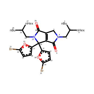 CCCCCCC(CCCC)CN1CC2=C(C1=O)C(c1ccc(Br)o1)(c1ccc(Br)o1)N(CC(CCCC)CCCCCC)C2=O